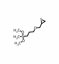 CO[Si](C)(CCCOCC1CS1)OC